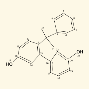 CC(C)(c1ccccc1)c1ccc(O)cc1-c1cccc(O)c1